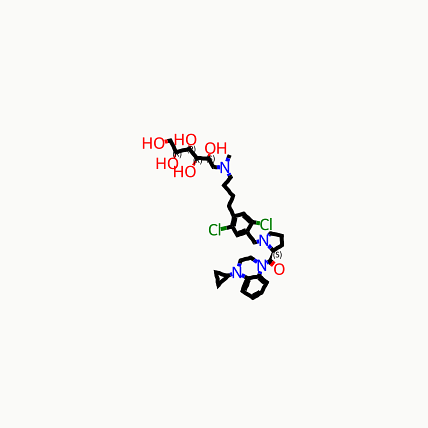 CN(CCCCc1cc(Cl)c(CN2CCC[C@H]2C(=O)N2CCN(C3CC3)c3ccccc32)cc1Cl)C[C@H](O)[C@@H](O)[C@H](O)[C@H](O)CO